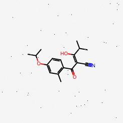 Cc1cc(OC(C)C)ccc1C(=O)C(C#N)=C(O)C(C)C